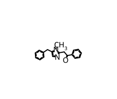 Cn1c(Cc2ccccc2)cnc1CC(=O)c1ccccc1